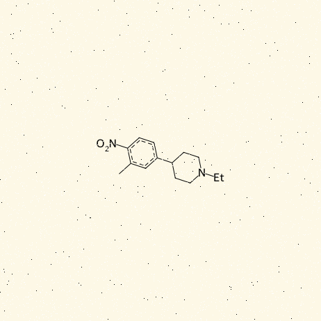 CCN1CCC(c2ccc([N+](=O)[O-])c(C)c2)CC1